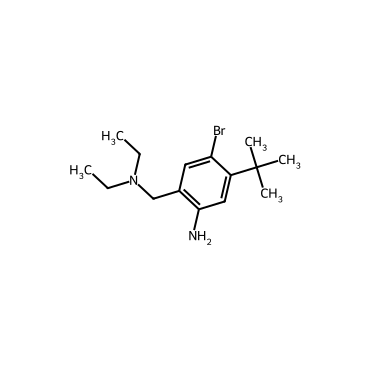 CCN(CC)Cc1cc(Br)c(C(C)(C)C)cc1N